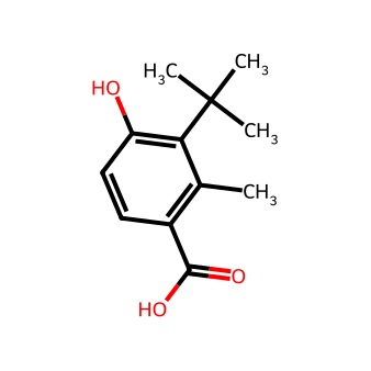 Cc1c(C(=O)O)ccc(O)c1C(C)(C)C